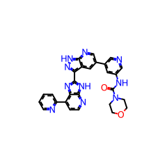 O=C(Nc1cncc(-c2cnc3[nH]nc(-c4nc5c(-c6ccccn6)ccnc5[nH]4)c3c2)c1)N1CCOCC1